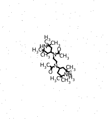 CC(=O)N(CCN(C(C)=O)C1CC(C)(C)NC(C)(C)C1)C1CC(C)(C)NC(C)(C)C1